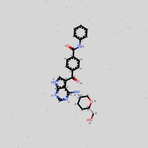 O=C(Nc1ccccc1)c1ccc(C(=O)c2c[nH]c3ncnc(N[C@H]4CC[C@@H](CO)OC4)c23)cc1